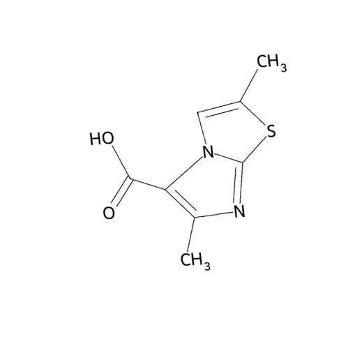 Cc1cn2c(C(=O)O)c(C)nc2s1